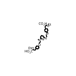 CCOC(Cc1ccc(OCCN(C)c2cccc(N(C)CCOc3ccc(CC(OCC)C(=O)O)cc3)n2)cc1)C(=O)O